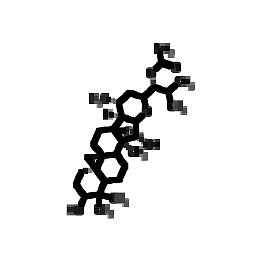 CC(C)[C@@H](OC(N)=O)C1C[C@@H](C)[C@H]2C(O1)[C@H](O)[C@@]1(C)C3CCC4C(C)(C)[C@@H](O)CC[C@@]45C[C@@]35CC[C@]21C